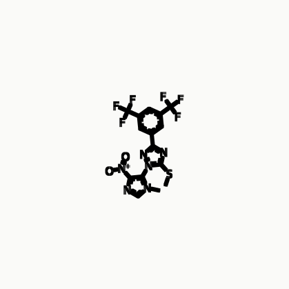 CSc1nc(-c2cc(C(F)(F)F)cc(C(F)(F)F)c2)nn1-c1c([N+](=O)[O-])ncn1C